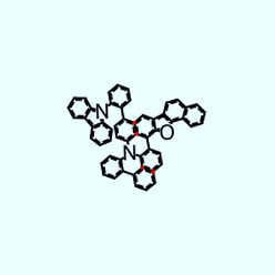 c1ccc(-c2ccccc2N(c2ccc(-c3ccccc3-n3c4ccccc4c4ccccc43)cc2)c2ccccc2-c2cccc3c2oc2c4ccccc4ccc32)cc1